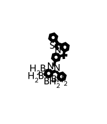 Bc1c(B)c(B)c2c(-c3ccccc3)nc(-c3ccc4c(c3)C(C)(C)c3cccc5c6c7ccccc7sc6n-4c35)nc2c1B